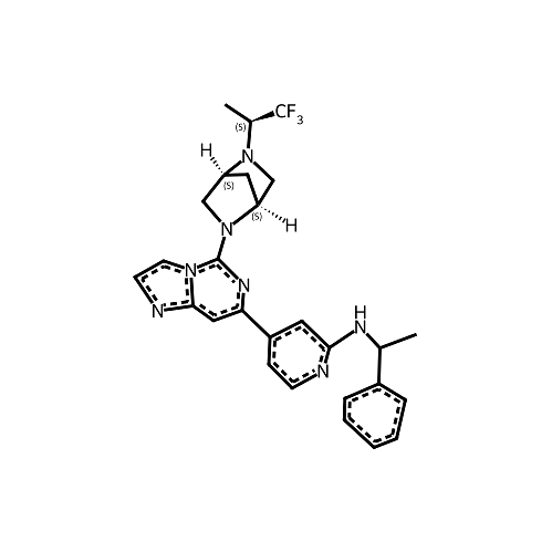 CC(Nc1cc(-c2cc3nccn3c(N3C[C@@H]4C[C@H]3CN4[C@@H](C)C(F)(F)F)n2)ccn1)c1ccccc1